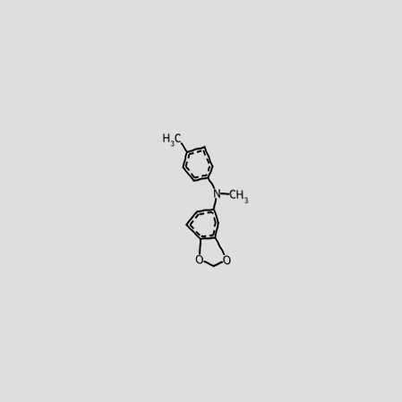 Cc1ccc(N(C)c2ccc3c(c2)OCO3)cc1